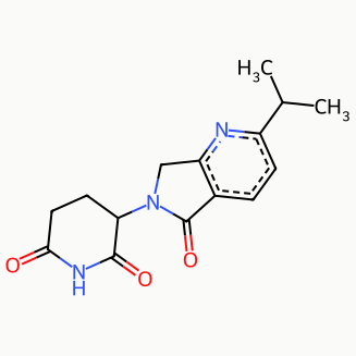 CC(C)c1ccc2c(n1)CN(C1CCC(=O)NC1=O)C2=O